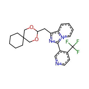 FC(F)(F)c1ccncc1-c1nc(CC2OCC3(CCCCC3)CO2)c2ccccn12